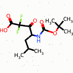 CC(C)CC(NC(=O)OC(C)(C)C)C(=O)C(F)(F)C(=O)O